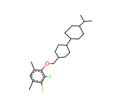 Cc1cc(C)c(OCC2CCC(C3CCC(C(C)C)CC3)CC2)c(F)c1F